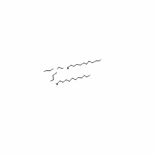 CCCCCCCCCCCC(=O)OC[CH2][Sn+]([CH2]CCC)[CH2]CCC.CCCCCCCCCCCC(=O)[O-]